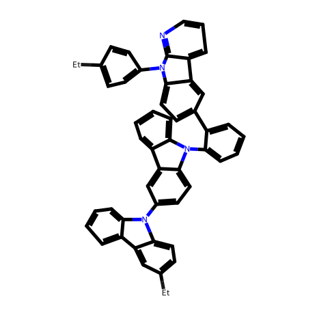 CCc1ccc(-n2c3ccc(-c4ccccc4-n4c5ccccc5c5cc(-n6c7ccccc7c7cc(CC)ccc76)ccc54)cc3c3cccnc32)cc1